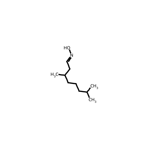 CC(C)CCCC(C)CC=NO